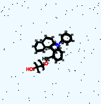 CC(C)(O)C(C)(C)OBc1cccc2c1c1c(n2-c2ccccc2)C=CC2C=CC=CC12